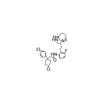 COC1CCC(CC(=O)Nc2cccc(F)c2CCC2CN[C@@H]3CCCSN2C3)(c2ccc(Cl)cc2)CC1